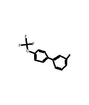 Cc1cc[c]c(-c2ccc(OC(F)(F)F)cc2)c1